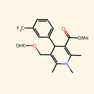 COC(=O)C1=C(C)N(C)C(C)=C(COC=O)C1c1cccc(C(F)(F)F)c1